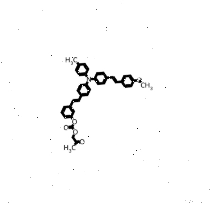 COc1ccc(C=Cc2ccc(N(c3ccc(C)cc3)c3ccc(C=Cc4cccc(OC(=O)OCC(C)=O)c4)cc3)cc2)cc1